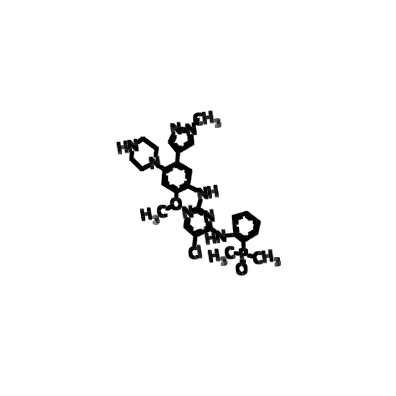 COc1cc(N2CCNCC2)c(-c2cnn(C)c2)cc1Nc1ncc(Cl)c(Nc2ccccc2P(C)(C)=O)n1